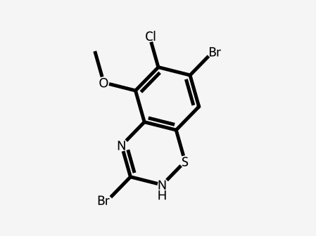 COc1c(Cl)c(Br)cc2c1N=C(Br)NS2